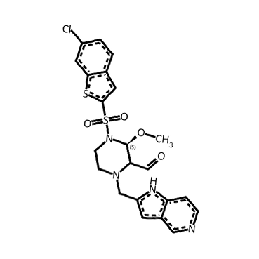 CO[C@H]1C(C=O)N(Cc2cc3cnccc3[nH]2)CCN1S(=O)(=O)c1cc2ccc(Cl)cc2s1